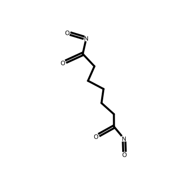 O=NC(=O)CCCCCC(=O)N=O